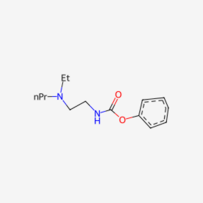 CCCN(CC)CCNC(=O)Oc1ccccc1